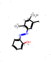 Cc1cc(N=Nc2ccccc2O)c([N+](=O)[O-])cc1C(=O)O